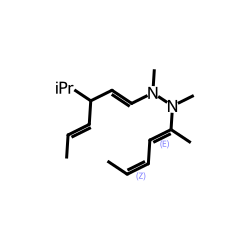 CC=CC(C=CN(C)N(C)/C(C)=C/C=C\C)C(C)C